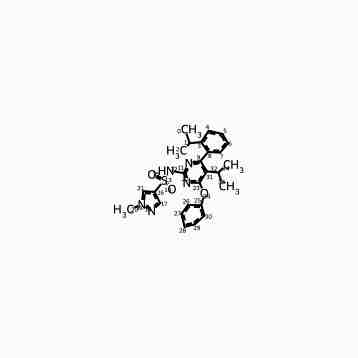 CC(C)c1ccccc1-c1nc(NS(=O)(=O)c2cnn(C)c2)nc(Oc2ccccc2)c1C(C)C